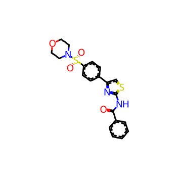 O=C(Nc1nc(-c2ccc(S(=O)(=O)N3CCOCC3)cc2)cs1)c1ccccc1